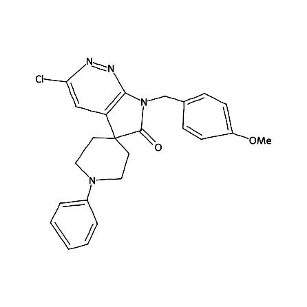 COc1ccc(CN2C(=O)C3(CCN(c4ccccc4)CC3)c3cc(Cl)nnc32)cc1